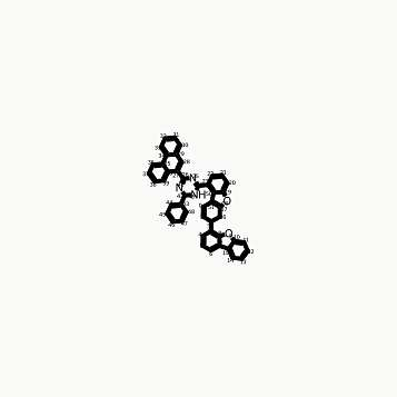 C1=CC(c2cccc3c2oc2ccccc23)Cc2oc3cccc(C4=NC(c5cc6ccccc6c6ccccc56)=NC(c5ccccc5)N4)c3c21